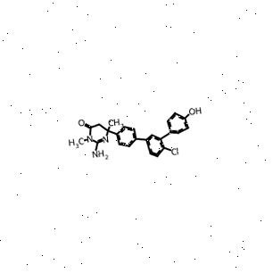 CN1C(=O)CC(C)(c2ccc(-c3ccc(Cl)c(-c4ccc(O)cc4)c3)cc2)N=C1N